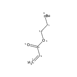 [CH2]CCCC[CH]OC(=O)C=C